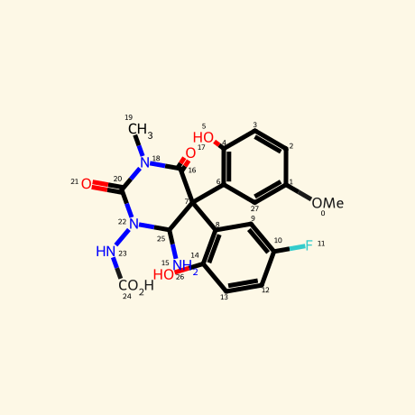 COc1ccc(O)c(C2(c3cc(F)ccc3O)C(=O)N(C)C(=O)N(NC(=O)O)C2N)c1